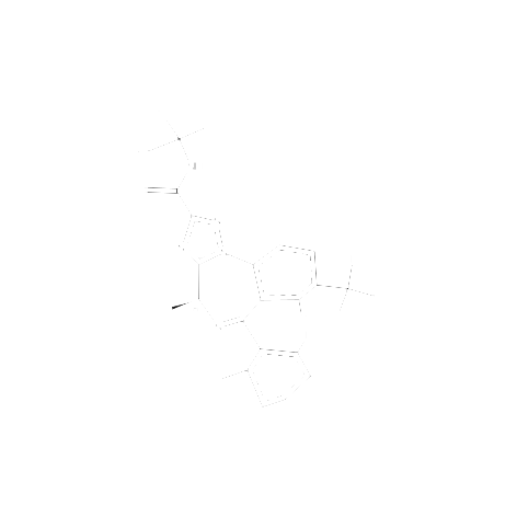 [2H]C([2H])([2H])NC(=O)c1nc2n(n1)-c1ccc(C(F)(F)F)c(Cl)c1C(c1c(F)cccc1F)=N[C@H]2C